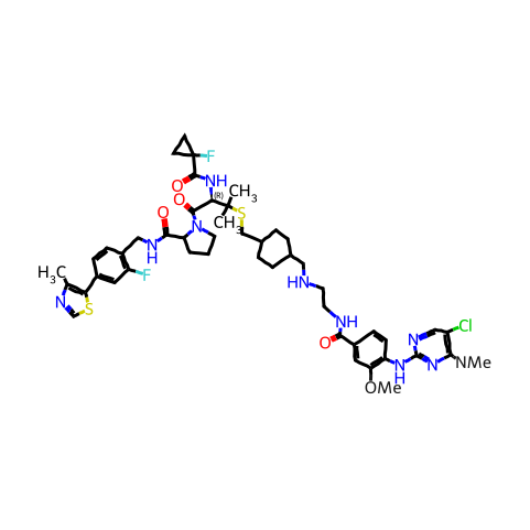 CNc1nc(Nc2ccc(C(=O)NCCNCC3CCC(CSC(C)(C)[C@H](NC(=O)C4(F)CC4)C(=O)N4CCCC4C(=O)NCc4ccc(-c5scnc5C)cc4F)CC3)cc2OC)ncc1Cl